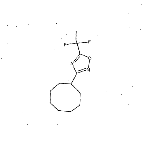 CC(F)(F)c1nc(C2CCCCCCC2)no1